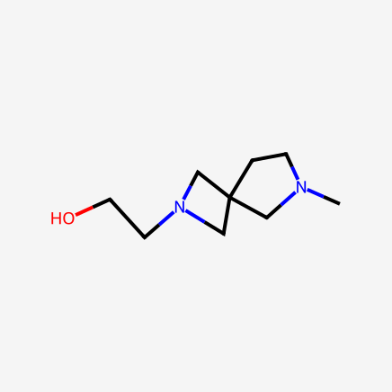 CN1CCC2(C1)CN(CCO)C2